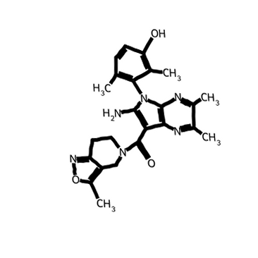 Cc1ccc(O)c(C)c1-n1c(N)c(C(=O)N2CCc3noc(C)c3C2)c2nc(C)c(C)nc21